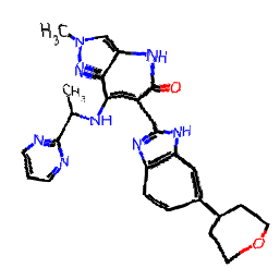 CC(Nc1c(-c2nc3ccc(C4CCOCC4)cc3[nH]2)c(=O)[nH]c2cn(C)nc12)c1ncccn1